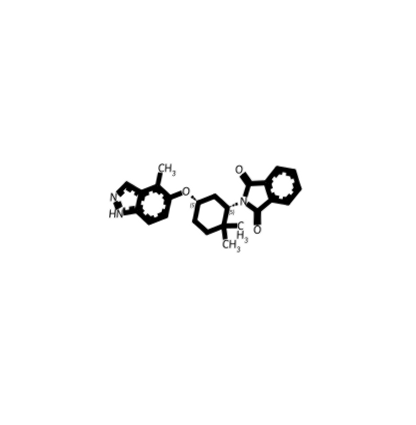 Cc1c(O[C@H]2CCC(C)(C)[C@@H](N3C(=O)c4ccccc4C3=O)C2)ccc2[nH]ncc12